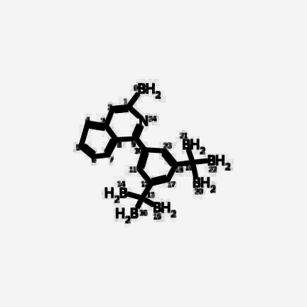 Bc1cc2ccccc2c(-c2cc(C(B)(B)B)cc(C(B)(B)B)c2)n1